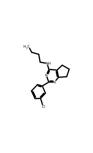 CCCCNc1nc(-c2cccc(Cl)c2)nc2c1CCC2